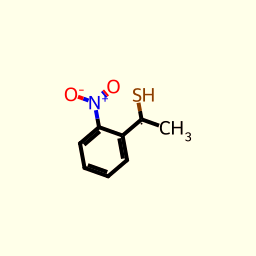 C[C](S)c1ccccc1[N+](=O)[O-]